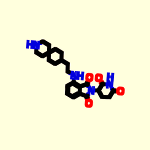 O=C1CCC(N2C(=O)c3cccc(NCCC4CCC5(CCNCC5)CC4)c3C2=O)C(=O)N1